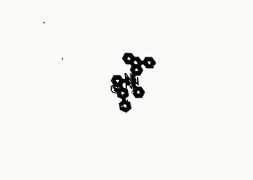 C1=CCC(c2ccc3c(c2)oc2cccc(-c4nc(-c5ccccc5)nc(-c5ccc6c(-c7ccccc7)cc7ccccc7c6c5)n4)c23)C=C1